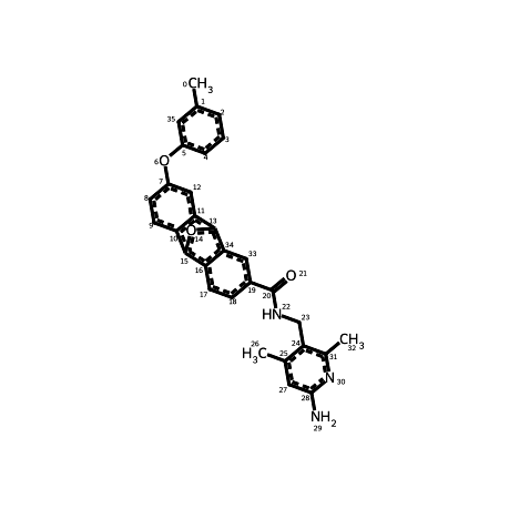 Cc1cccc(Oc2ccc3c(c2)c2oc3c3ccc(C(=O)NCc4c(C)cc(N)nc4C)cc32)c1